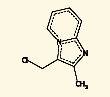 Cc1nc2ccccn2c1CCl